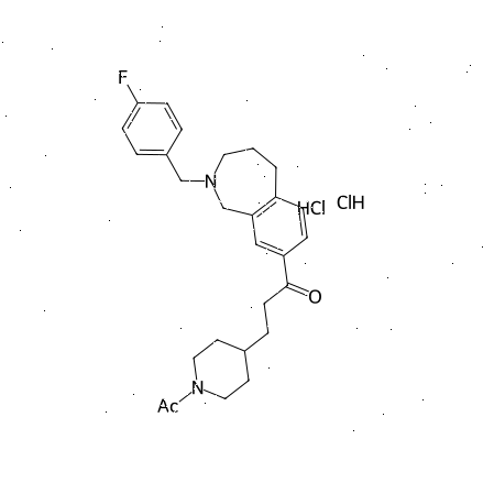 CC(=O)N1CCC(CCC(=O)c2ccc3c(c2)CN(Cc2ccc(F)cc2)CCC3)CC1.Cl.Cl